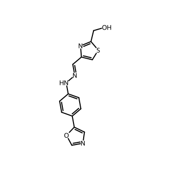 OCc1nc(C=NNc2ccc(-c3cnco3)cc2)cs1